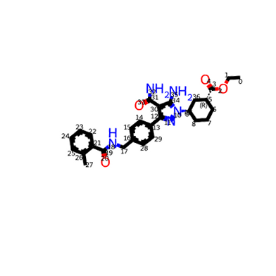 CCOC(=O)[C@@H]1CCC[C@@H](n2nc(-c3ccc(CNC(=O)c4ccccc4C)cc3)c(C(N)=O)c2N)C1